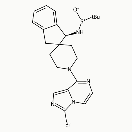 CC(C)(C)[S+]([O-])N[C@@H]1c2ccccc2CC12CCN(c1nccn3c(Br)ncc13)CC2